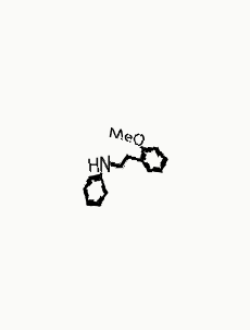 COc1ccccc1CCNc1ccccc1